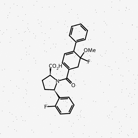 COC1(F)CC(C(=O)N2[C@@H](c3ccccc3F)CC[C@H]2C(=O)O)=CC=C1c1ccccc1